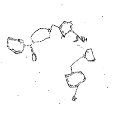 O=C(c1ccco1)N1CCN(Cc2csc(NC[C@@H]3CCCN3Cc3ccc(Br)cc3)n2)CC1